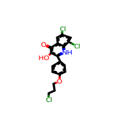 O=c1c(O)c(-c2ccc(OCCCCl)cc2)[nH]c2c(Cl)cc(Cl)cc12